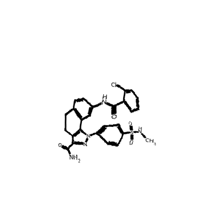 CNS(=O)(=O)c1ccc(-n2nc(C(N)=O)c3c2-c2cc(NC(=O)c4ccccc4Cl)ccc2CC3)cc1